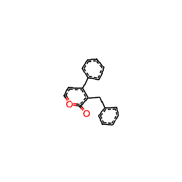 O=c1occc(-c2ccccc2)c1Cc1ccccc1